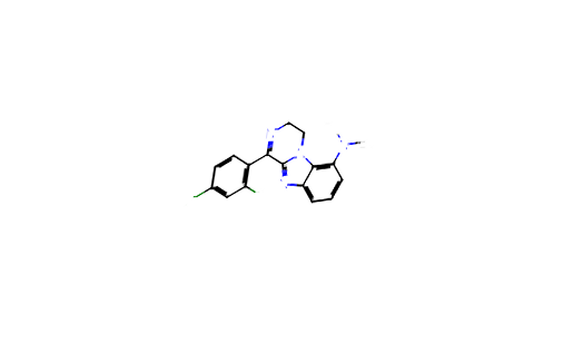 CCN(CC)c1cccc2nc3n(c12)CCN=C3c1ccc(Cl)cc1Cl